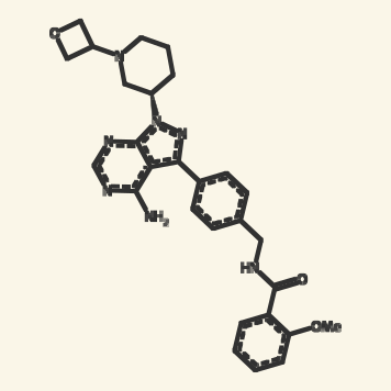 COc1ccccc1C(=O)NCc1ccc(-c2nn([C@@H]3CCCN(C4COC4)C3)c3ncnc(N)c23)cc1